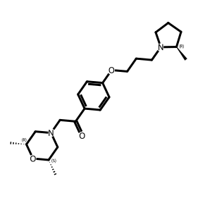 C[C@@H]1CN(CC(=O)c2ccc(OCCCN3CCC[C@H]3C)cc2)C[C@H](C)O1